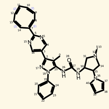 Cc1c(-c2cnc(C3=C/C=C\C=C/C=C\3)nc2)nn(-c2ccccc2)c1NC(=O)NC1CN(I)CC1n1cccc1